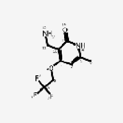 Cc1cc(OCC(F)(F)F)c(CN)c(=O)[nH]1